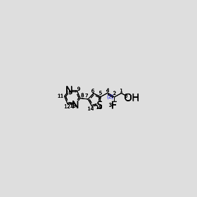 OC/C(F)=C/c1cc(-c2cnccn2)cs1